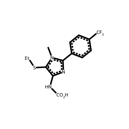 CCSc1c(NC(=O)O)nc(-c2ccc(C(F)(F)F)cc2)n1C